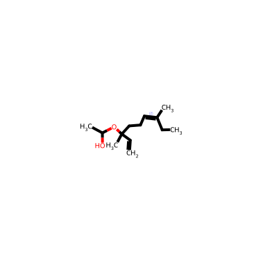 C=CC(C)(CC/C=C(/C)CC)OC(C)O